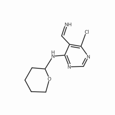 N=Cc1c(Cl)ncnc1NC1CCCCO1